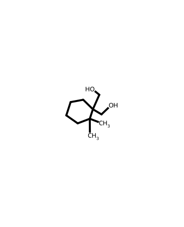 CC1(C)CCCCC1(CO)CO